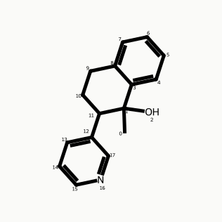 CC1(O)c2ccccc2CCC1c1cccnc1